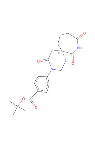 CC(C)(C)OC(=O)c1ccc(N2CC[C@@]3(CCCC(=O)NC3=O)CC2=O)cc1